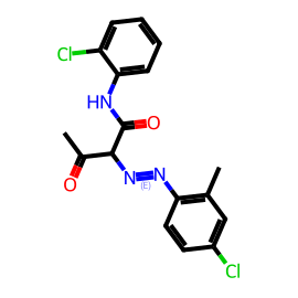 CC(=O)C(/N=N/c1ccc(Cl)cc1C)C(=O)Nc1ccccc1Cl